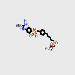 CCCCC1NSc2cc(S(=O)(=O)NCc3ccc(CCCCCP(=O)(CC(=O)O)OCC)cc3)c(Cl)cc2N1